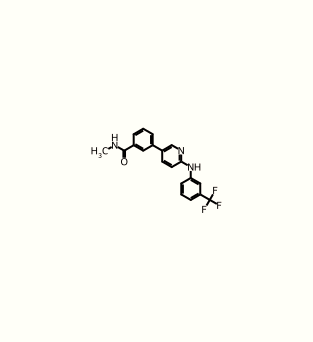 CNC(=O)c1cccc(-c2ccc(Nc3cccc(C(F)(F)F)c3)nc2)c1